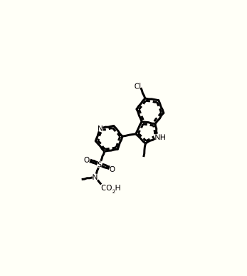 Cc1[nH]c2ccc(Cl)cc2c1-c1cncc(S(=O)(=O)N(C)C(=O)O)c1